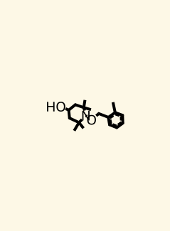 Cc1ccccc1CON1C(C)(C)CC(O)CC1(C)C